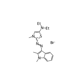 CCN(CC)c1cn(C)[c+](N=Nc2c(C)n(C)c3ccccc23)s1.[Br-]